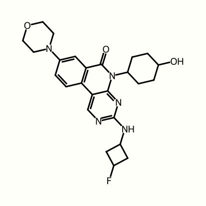 O=c1c2cc(N3CCOCC3)ccc2c2cnc(NC3CC(F)C3)nc2n1C1CCC(O)CC1